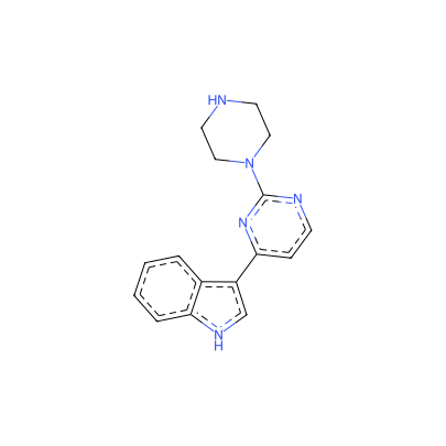 c1ccc2c(-c3ccnc(N4CCNCC4)n3)c[nH]c2c1